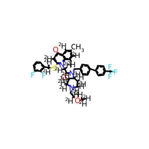 [2H]c1c(C)c([2H])c2c(=O)c([2H])c(SC([2H])([2H])c3cccc(F)c3F)n(C([2H])([2H])C(=O)N(Cc3ccc(-c4ccc(C(F)(F)F)cc4)cc3)C3([2H])C([2H])([2H])C([2H])([2H])N(CC([2H])([2H])OC([2H])([2H])[2H])C([2H])([2H])C3([2H])[2H])c2c1[2H]